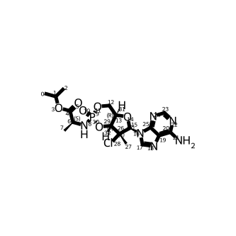 CC(C)OC(=O)[C@H](C)NP1(=O)OC[C@H]2O[C@@H](n3cnc4c(N)ncnc43)[C@](C)(Cl)[C@@H]2O1